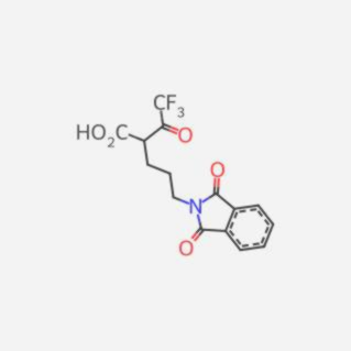 O=C(O)C(CCCN1C(=O)c2ccccc2C1=O)C(=O)C(F)(F)F